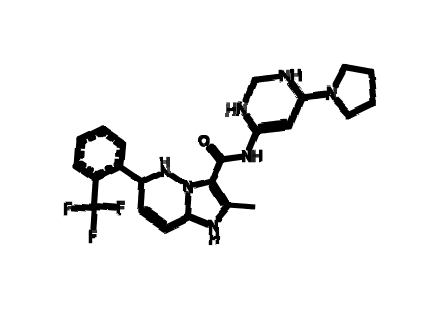 CC1=C(C(=O)NC2=CC(N3CCCC3)NCN2)N2NC(c3ccccc3C(F)(F)F)C=CC2N1